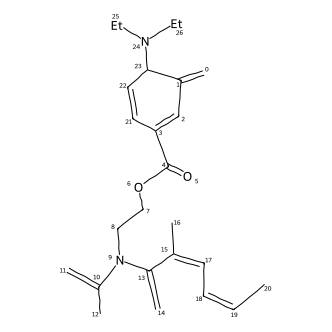 C=C1C=C(C(=O)OCCN(C(=C)C)C(=C)/C(C)=C\C=C/C)C=CC1N(CC)CC